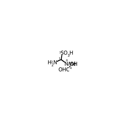 CNC(N)S(=O)(=O)O.O=CO